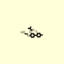 C=C(C)C(=O)Oc1cc(-c2ccc(C)cc2F)ccc1OCCO